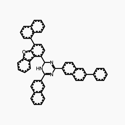 c1ccc(-c2ccc3cc(C4=NC(c5ccc(-c6cccc7ccccc67)c6oc7ccccc7c56)NC(c5ccc6ccccc6c5)=N4)ccc3c2)cc1